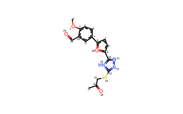 COc1ccc(-c2ccc(-c3nnc(SCC(C)=O)[nH]3)o2)cc1C=O